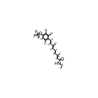 CCNC(=O)/C=C(C)/C=C/C=C(C)/C=C/c1c(C)cc(OC(F)(F)F)c(C)c1C